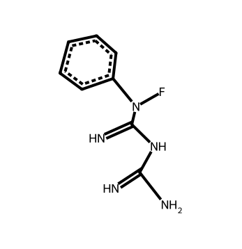 N=C(N)NC(=N)N(F)c1ccccc1